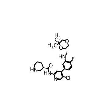 CC1(C)COC[C@H](CNc2cc(-c3cc(NC(=O)[C@@H]4CCCNC4)ncc3Cl)ccc2F)O1